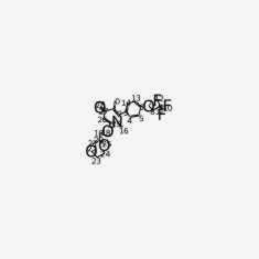 Cc1c(-c2ccc(OCC(F)(F)F)cc2)n(C)c(OCC2COCCO2)cc1=O